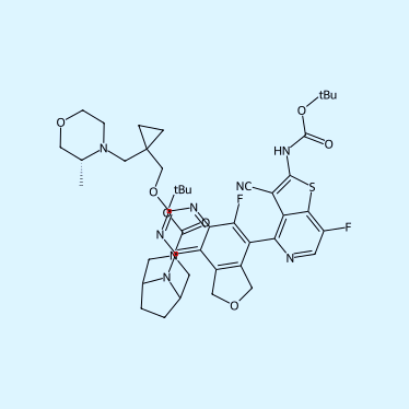 C[C@@H]1COCCN1CC1(COc2nc(N3C4CCC3CN(C(=O)OC(C)(C)C)C4)c3c4c(c(-c5ncc(F)c6sc(NC(=O)OC(C)(C)C)c(C#N)c56)c(F)c3n2)COC4)CC1